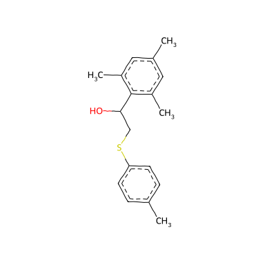 Cc1ccc(SCC(O)c2c(C)cc(C)cc2C)cc1